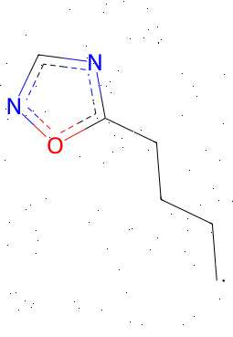 [CH2]CCCc1ncno1